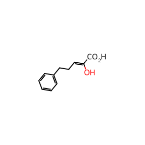 O=C(O)C(O)=CCCc1ccccc1